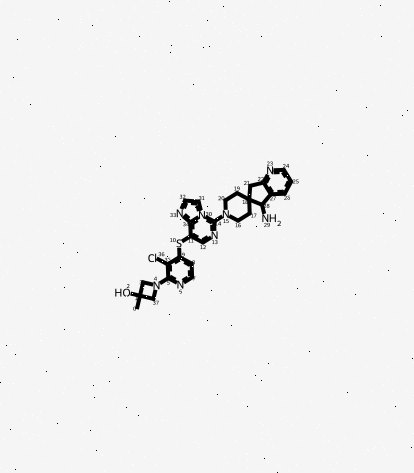 CC1(O)CN(c2nccc(Sc3cnc(N4CCC5(CC4)Cc4ncccc4C5N)n4ccnc34)c2Cl)C1